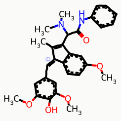 COc1ccc2c(c1)C(C(C(=O)Nc1ccccc1)N(C)C)=C(C)/C2=C/c1cc(OC)c(O)c(OC)c1